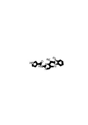 CCN1C(=C(C#N)c2nc(NC(=O)C3CCNC3)ncc2C)Nc2ccccc21